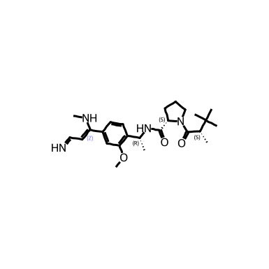 CN/C(=C\C=N)c1ccc([C@@H](C)NC(=O)[C@@H]2CCCN2C(=O)[C@@H](C)C(C)(C)C)c(OC)c1